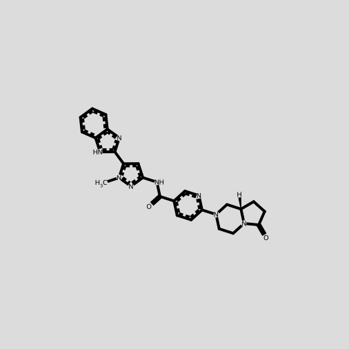 Cn1nc(NC(=O)c2ccc(N3CCN4C(=O)CC[C@H]4C3)nc2)cc1-c1nc2ccccc2[nH]1